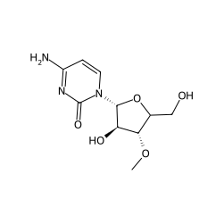 CO[C@H]1C(CO)O[C@@H](n2ccc(N)nc2=O)[C@@H]1O